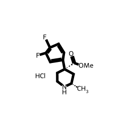 COC(=O)[C@@]1(c2ccc(F)c(F)c2)CCN[C@@H](C)C1.Cl